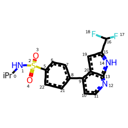 CC(C)NS(=O)(=O)c1ccc(-c2ccnc3[nH]c(C(F)F)cc23)cc1